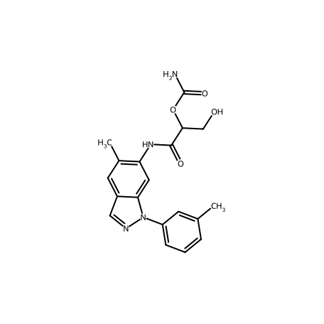 Cc1cccc(-n2ncc3cc(C)c(NC(=O)C(CO)OC(N)=O)cc32)c1